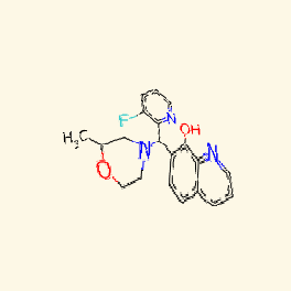 CC1CN(C(c2ccc3cccnc3c2O)c2ncccc2F)CCO1